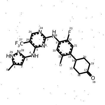 Cc1cc(Nc2nc(Nc3cc(C)c(C4CCC(=O)CC4)cc3F)ncc2C(F)(F)F)n[nH]1